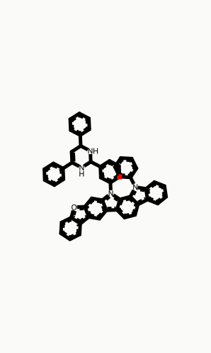 C1=C(c2ccccc2)NC(c2cccc(-n3c4cc5oc6ccccc6c5cc4c4ccc5c6ccccc6n(-c6ccccc6)c5c43)c2)NC1c1ccccc1